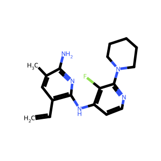 C=Cc1cc(C)c(N)nc1Nc1ccnc(N2CCCCC2)c1F